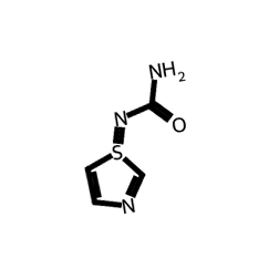 NC(=O)N=S1C=CN=C1